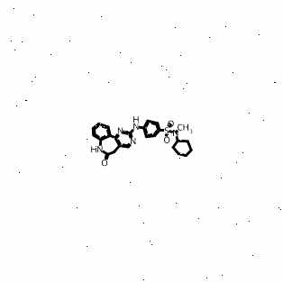 CN(C1CCCCC1)S(=O)(=O)c1ccc(Nc2ncc3c(n2)-c2ccccc2NC(=O)C3)cc1